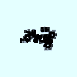 CCN(C(=O)CNC(=O)c1ccc(S(=O)(=O)N(Oc2ccccc2)c2ccccc2)cc1)C1CCNCC1.Cl